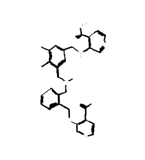 CN(Cc1ccccc1CNc1cnccc1C(=O)O)Cc1cc(CNc2cnccc2C(=O)O)cc(Cl)c1Cl